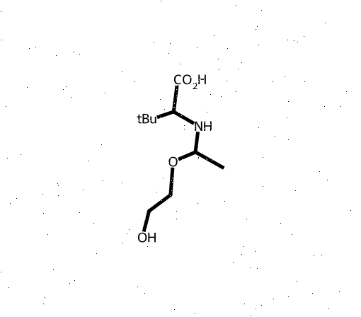 CC(NC(C(=O)O)C(C)(C)C)OCCO